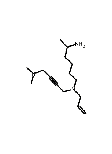 C=CCN(CC#CCN(C)C)CCCCC(C)N